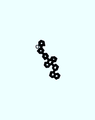 C1=CC2=CC=CC(C3C=CC=C(C4=c5ccccc5=C(c5ccc(-c6ccc7oc8ccccc8c7c6)cc5)C5C=CC=CC45)C3)C2C=C1